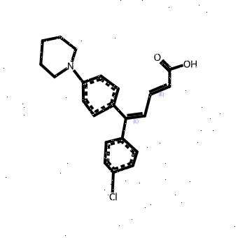 O=C(O)/C=C/C=C(/c1ccc(Cl)cc1)c1ccc(N2CCCCC2)cc1